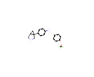 O=S(=O)(Nc1ccc(C23CNC[C@H]2C3)cc1)c1ccc(OC(F)(F)F)cc1